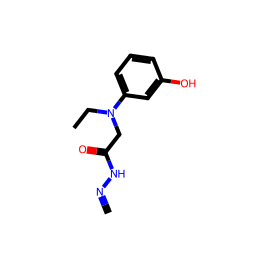 C=NNC(=O)CN(CC)c1cccc(O)c1